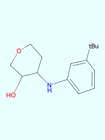 CC(C)(C)c1cccc(NC2CCOCC2O)c1